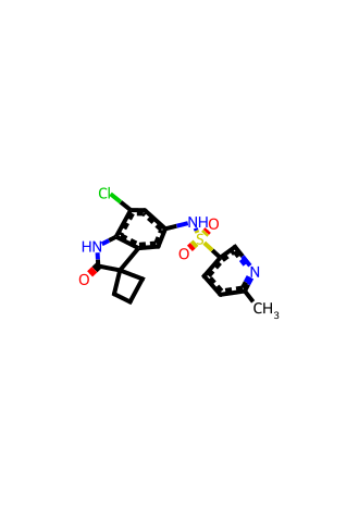 Cc1ccc(S(=O)(=O)Nc2cc(Cl)c3c(c2)C2(CCC2)C(=O)N3)cn1